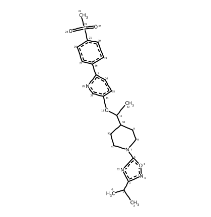 CC(C)c1noc(N2CCC(C(C)Oc3ccc(-c4ccc(S(C)(=O)=O)cc4)nc3)CC2)n1